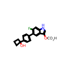 O=C(O)Oc1c[nH]c2cc(F)c(-c3ccc(C4(O)CCC4)cc3)cc12